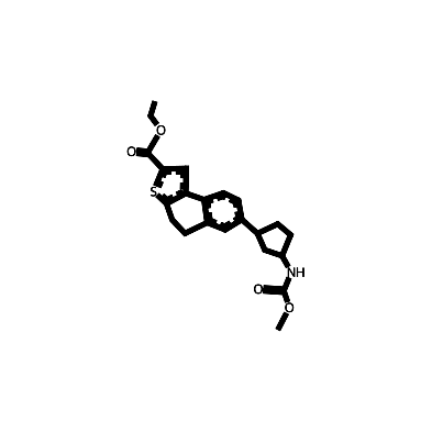 CCOC(=O)c1cc2c(s1)CCc1cc(C3CCC(NC(=O)OC)C3)ccc1-2